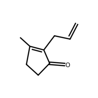 C=CCC1=C(C)CCC1=O